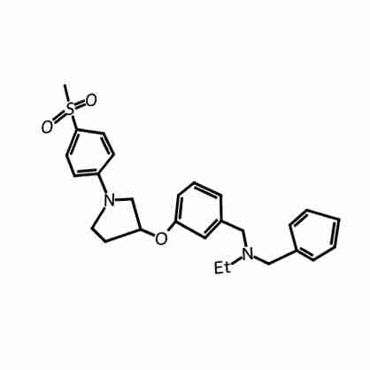 CCN(Cc1ccccc1)Cc1cccc(OC2CCN(c3ccc(S(C)(=O)=O)cc3)C2)c1